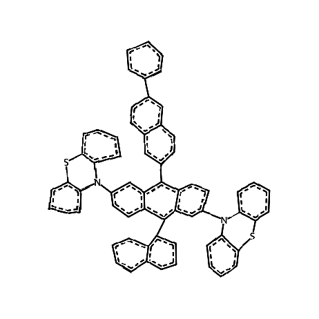 c1ccc(-c2ccc3cc(-c4c5cc(N6c7ccccc7Sc7ccccc76)ccc5c(-c5cccc6ccccc56)c5cc(N6c7ccccc7Sc7ccccc76)ccc45)ccc3c2)cc1